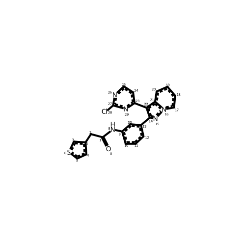 O=C(Cc1ccsc1)Nc1cccc(-c2nn3ccccc3c2-c2ccnc(Cl)n2)c1